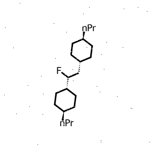 CCC[C@H]1CC[C@H](CC(F)[C@H]2CC[C@H](CCC)CC2)CC1